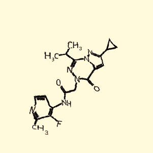 Cc1nccc(NC(=O)Cn2nc(C(C)C)n3nc(C4CC4)cc3c2=O)c1F